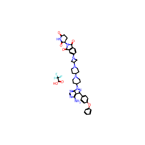 Nc1ncnc2c1c(-c1ccc(Oc3ccccc3)cc1)nn2C1CCN(C2CCN(C3CN(c4ccc5c(c4)C(=O)N(C4CCC(=O)NC4=O)C5=O)C3)CC2)CC1.O=C(O)C(F)(F)F